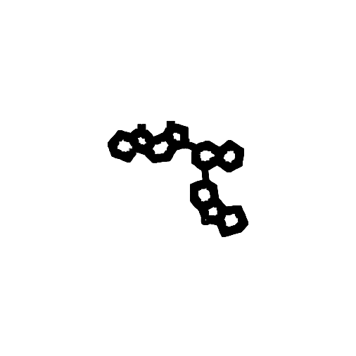 c1ccc2c(-c3ccc4oc5ccccc5c4c3)cc(-n3cnc4c5nc6ccccn6c5ccc43)cc2c1